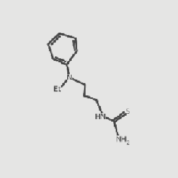 CCN(CCCNC(N)=S)c1ccccc1